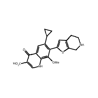 COc1c(-c2cc3c(s2)CNCC3)c(C2CC2)cc2c(=O)c(C(=O)O)c[nH]c12